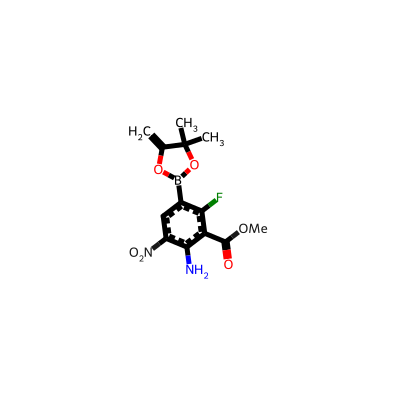 C=C1OB(c2cc([N+](=O)[O-])c(N)c(C(=O)OC)c2F)OC1(C)C